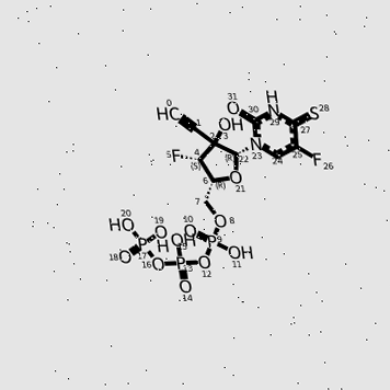 C#CC1(O)[C@@H](F)[C@@H](COP(=O)(O)OP(=O)(O)OP(=O)(O)O)O[C@H]1n1cc(F)c(=S)[nH]c1=O